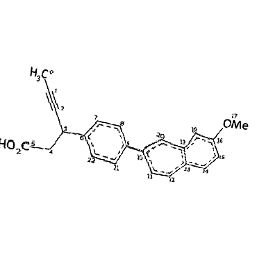 CC#CC(CC(=O)O)c1ccc(-c2ccc3ccc(OC)cc3c2)cc1